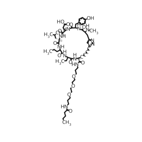 CCCCC(=O)NCCCOCCOCCOCCCNC(=O)[C@@H]1CCCCn2cc(nn2)CC(NC)C(=O)NC(Cc2ccc(O)cc2)C(=O)NC(CC(=O)O)C(=O)N[C@@H](CC(C)C)C(=O)NC(CCC)C(=O)NC(CC)C(=O)N1